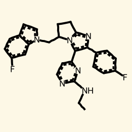 CCNc1nccc(-c2c(-c3ccc(F)cc3)nc3n2C(Cn2ccc4ccc(F)cc42)CC3)n1